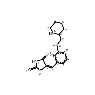 O=C1NC(=O)/C(=C\c2ccnc(NCC3CCCCN3)n2)S1